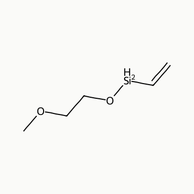 C=C[SiH2]OCCOC